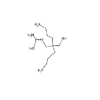 NCCCC(CO)(CCCN)COP(N)O